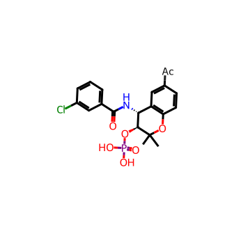 CC(=O)c1ccc2c(c1)[C@@H](NC(=O)c1cccc(Cl)c1)[C@H](OP(=O)(O)O)C(C)(C)O2